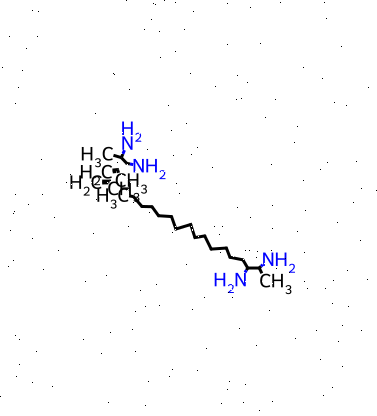 C=CC.C=CC.CC(N)CN.CCCCCCCCCCCCCCC(N)C(C)N